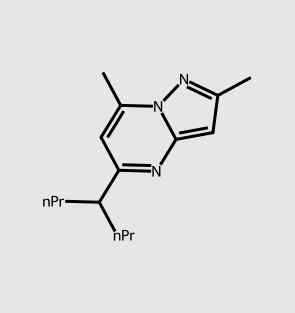 CCCC(CCC)c1cc(C)n2nc(C)cc2n1